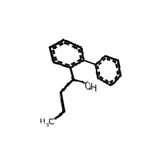 CCCC(O)c1ccccc1-c1ccccc1